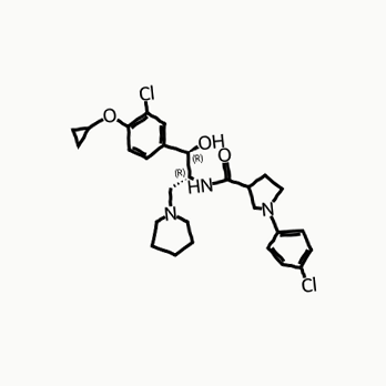 O=C(N[C@H](CN1CCCCC1)[C@H](O)c1ccc(OC2CC2)c(Cl)c1)C1CCN(c2ccc(Cl)cc2)C1